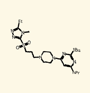 CCCc1cc(N2CCN(CCCS(=O)(=O)c3nnc(CC)n3C)CC2)nc(C(C)(C)C)n1